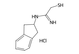 Cl.N=C(CS)NC1Cc2ccccc2C1